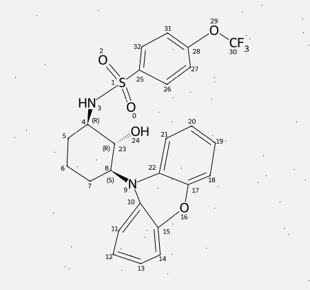 O=S(=O)(N[C@@H]1CCC[C@H](N2c3ccccc3Oc3ccccc32)[C@H]1O)c1ccc(OC(F)(F)F)cc1